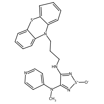 CN(c1ccncc1)c1n[s+]([O-])nc1NCCCN1c2ccccc2Sc2ccccc21